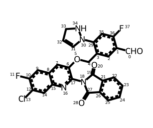 O=Cc1cc(COc2cc3cc(F)c(Cl)cc3nc2N2C(=O)c3ccccc3C2=O)c(N2C=CCN2)cc1F